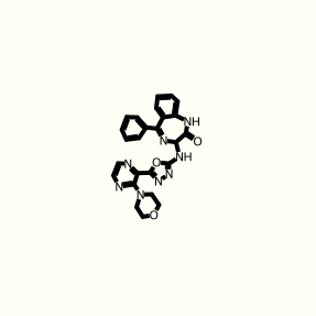 O=C1Nc2ccccc2C(c2ccccc2)=NC1Nc1nnc(-c2nccnc2N2CCOCC2)o1